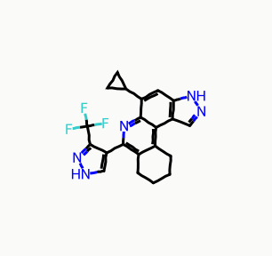 FC(F)(F)c1n[nH]cc1-c1nc2c(C3CC3)cc3[nH]ncc3c2c2c1CCCC2